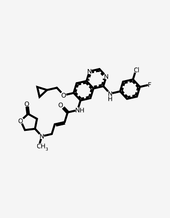 CN(CC=CC(=O)Nc1cc2c(Nc3ccc(F)c(Cl)c3)ncnc2cc1OCC1CC1)C1COC(=O)C1